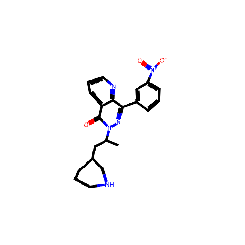 CC(CC1CCCNC1)n1nc(-c2cccc([N+](=O)[O-])c2)c2ncccc2c1=O